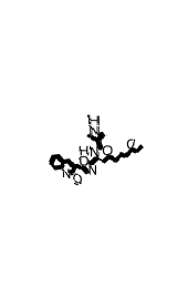 CCC(=O)CCCCC[C@H](NC(=O)C1CNC1)c1ncc(-c2cc3ccccc3nc2OC)o1